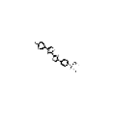 CN(C)c1ccc(-c2csc(-c3nc(-c4ccc(F)nc4)cs3)n2)cc1